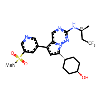 CNS(=O)(=O)c1cncc(-c2cc([C@H]3CC[C@H](O)CC3)n3nc(N[C@@H](C)CC(F)(F)F)ncc23)c1